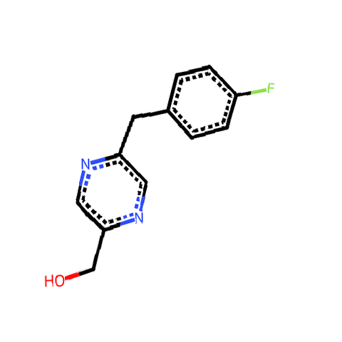 OCc1cnc(Cc2ccc(F)cc2)cn1